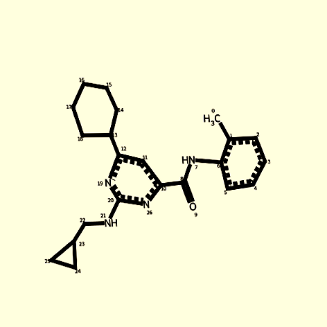 Cc1ccccc1NC(=O)c1cc(C2CCCCC2)nc(NCC2CC2)n1